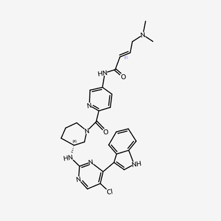 CN(C)C/C=C/C(=O)Nc1ccc(C(=O)N2CCC[C@@H](Nc3ncc(Cl)c(-c4c[nH]c5ccccc45)n3)C2)nc1